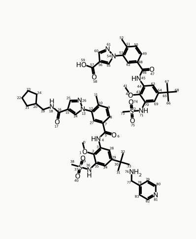 COc1c(NC(=O)c2ccc(C)c(-n3cc(C(=O)NCC4CCCC4)cn3)c2)cc(C(C)(C)C)cc1NS(C)(=O)=O.COc1c(NC(=O)c2ccc(C)c(-n3cc(C(=O)O)cn3)c2)cc(C(C)(C)C)cc1NS(C)(=O)=O.NCc1ccncc1